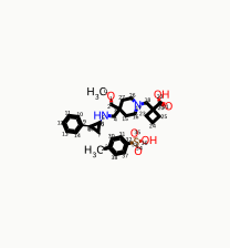 COCC1(CN[C@@H]2C[C@H]2c2ccccc2)CCN(CC2(C(=O)O)CCC2)CC1.Cc1ccc(S(=O)(=O)O)cc1